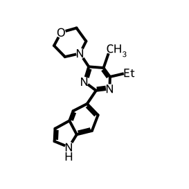 CCc1nc(-c2ccc3[nH]ccc3c2)nc(N2CCOCC2)c1C